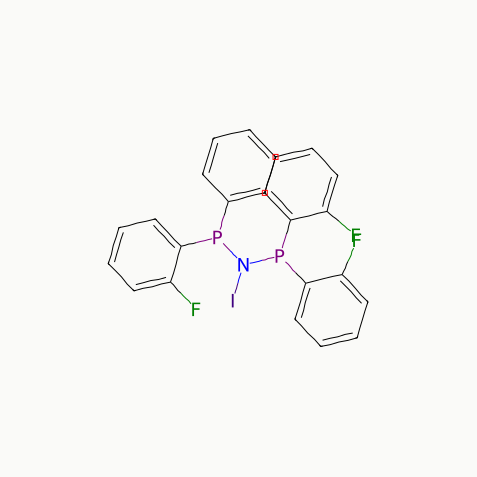 Fc1ccccc1P(c1ccccc1)N(I)P(c1ccccc1F)c1ccccc1F